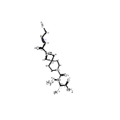 CC(C)[C@@H](C(N)=O)N(C)C(=O)N1CCC2(CC1)CN(C(=O)/C=C/CF)C2